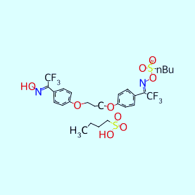 CCCCS(=O)(=O)O.CCCCS(=O)(=O)ON=C(c1ccc(OCCCOc2ccc(C(=NO)C(F)(F)F)cc2)cc1)C(F)(F)F